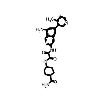 Cc1ccncc1-c1cc(N)c2cnc(NC(=O)C(=O)NC3CCC(C(N)=O)CC3)cc2c1